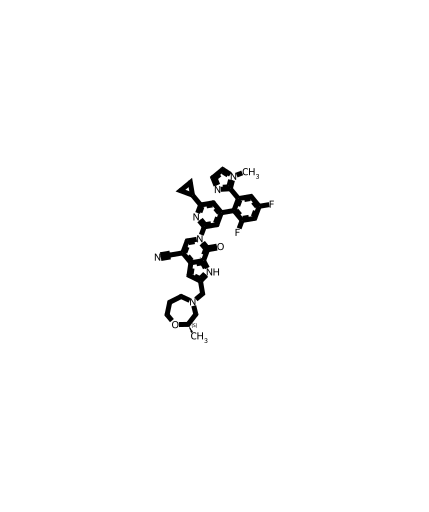 C[C@H]1CN(Cc2cc3c(C#N)cn(-c4cc(-c5c(F)cc(F)cc5-c5nccn5C)cc(C5CC5)n4)c(=O)c3[nH]2)CCCO1